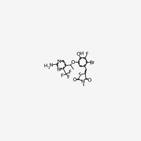 CC(Oc1cc(/C=C2\SC(=O)N(C)C2=O)c(Br)c(F)c1O)c1cnc(N)nc1C(F)(F)F